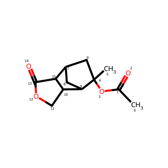 CC(=O)OC1(C)CC2CC1C1COC(=O)C21